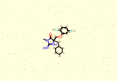 CN1C(=N)NC(COc2cc(F)ccc2F)(CC2CCCCC2)C1=O